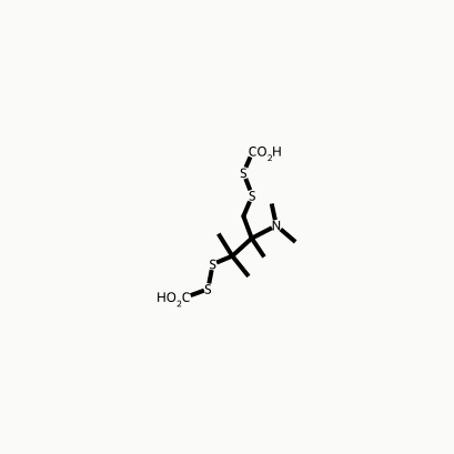 CN(C)C(C)(CSSC(=O)O)C(C)(C)SSC(=O)O